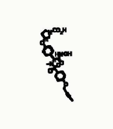 CC#CCOc1ccc(S(=O)(=O)N(C)[C@@H](C(=O)NO)c2ccc(O[C@H]3CCN(C(=O)O)C3)cc2)cc1